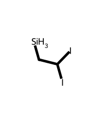 [SiH3]CC(I)I